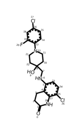 O=C1CCc2c(NCC3(O)CCN(c4ccc(Cl)cc4F)CC3)ccc(Cl)c2N1